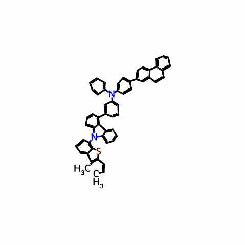 C/C=C\c1sc2c(-n3c4ccccc4c4c(-c5cccc(N(c6ccccc6)c6ccc(-c7ccc8c(ccc9ccccc98)c7)cc6)c5)cccc43)cccc2c1C